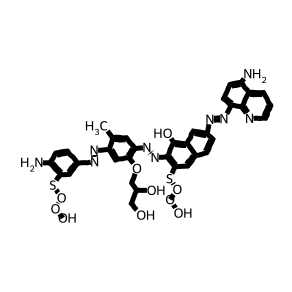 Cc1cc(N=Nc2c(SOOO)cc3ccc(N=Nc4ccc(N)c5cccnc45)cc3c2O)c(OCC(O)CO)cc1N=Nc1ccc(N)c(SOOO)c1